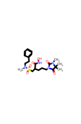 CN1C(=O)N(CCCC(CS(=O)(=O)N(C)CCc2ccccc2)C(=O)NO)C(=O)C1(C)C